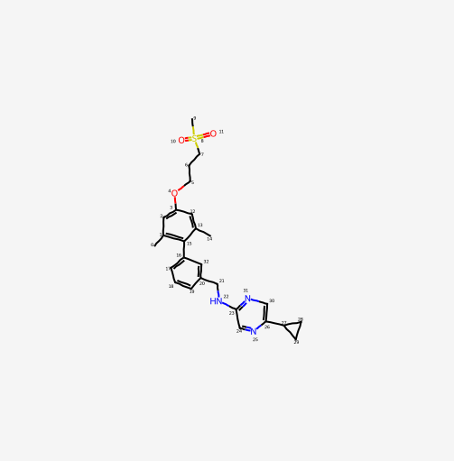 Cc1cc(OCCCS(C)(=O)=O)cc(C)c1-c1cccc(CNc2cnc(C3CC3)cn2)c1